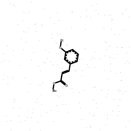 CCOc1cccc(/C=C/C(=O)OC(C)CC)c1